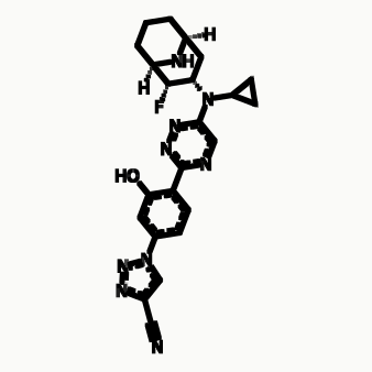 N#Cc1cn(-c2ccc(-c3ncc(N(C4CC4)[C@H]4C[C@@H]5CCC[C@@H](N5)[C@H]4F)nn3)c(O)c2)nn1